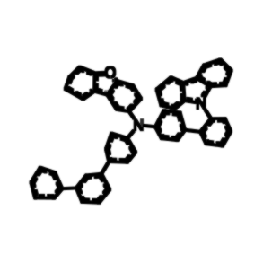 c1ccc(-c2cccc(-c3ccc(N(c4ccc(-c5ccccc5-n5c6ccccc6c6ccccc65)cc4)c4ccc5oc6ccccc6c5c4)cc3)c2)cc1